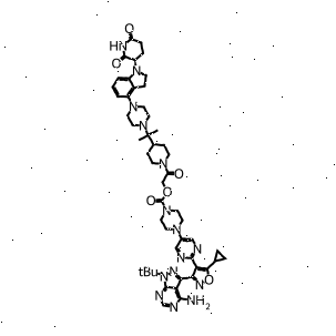 CC(C)(C1CCN(C(=O)COC(=O)N2CCN(c3cnc(-c4c(-c5nn(C(C)(C)C)c6ncnc(N)c56)noc4C4CC4)nc3)CC2)CC1)N1CCN(c2cccc3c2CCN3[C@@H]2CCC(=O)NC2=O)CC1